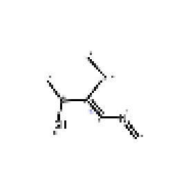 C=N/C=C(\SC)C(C)S